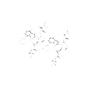 COc1ccc(C2CCCCC2)c2c1cc1n2CC2=C(C(=O)NS(=O)(=O)N(C)C)C2=C2C=CC[C@@H](NC(=O)C(=O)N(C)C)C21.COc1ccc(C2CCCCC2)c2c1cc1n2CC2=C(C(=O)NS(=O)(=O)N(C)C)C2=C2C=CC[C@@H](NC(=O)C(=O)N(C)C)C21